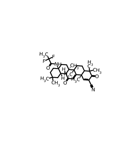 CC1(C)CC[C@]2(NC(=O)C(C)(F)F)CC[C@]3(C)[C@H](C(=O)C=C4[C@@]5(C)C=C(C#N)C(=O)C(C)(C)C5CC[C@]43C)[C@@H]2C1